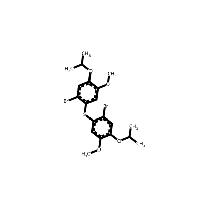 COc1cc(Sc2cc(OC)c(OC(C)C)cc2Br)c(Br)cc1OC(C)C